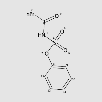 CCCC(=O)NS(=O)(=O)Oc1ccccc1